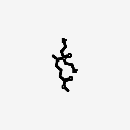 COC(=O)CCCN(C)P(=O)(CCBr)CCBr